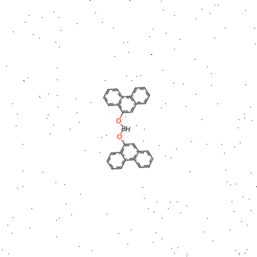 B(Oc1cc2ccccc2c2ccccc12)Oc1cc2ccccc2c2ccccc12